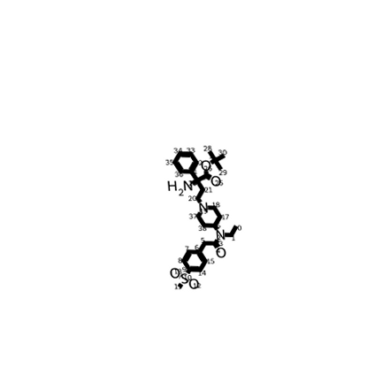 CCN(C(=O)Cc1ccc(S(C)(=O)=O)cc1)C1CCN(CCC(N)(C(=O)OC(C)(C)C)c2ccccc2)CC1